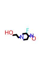 O=NC1CCN(CCCO)CC1F